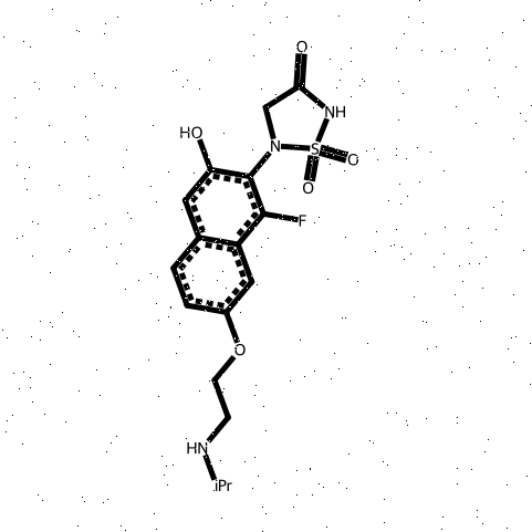 CC(C)NCCOc1ccc2cc(O)c(N3CC(=O)NS3(=O)=O)c(F)c2c1